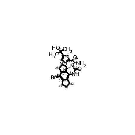 CC(C)(O)c1cnc([S@](N)(=O)=NC(=O)Nc2c3c(c(Br)c4c2CCC4)CCC3)s1